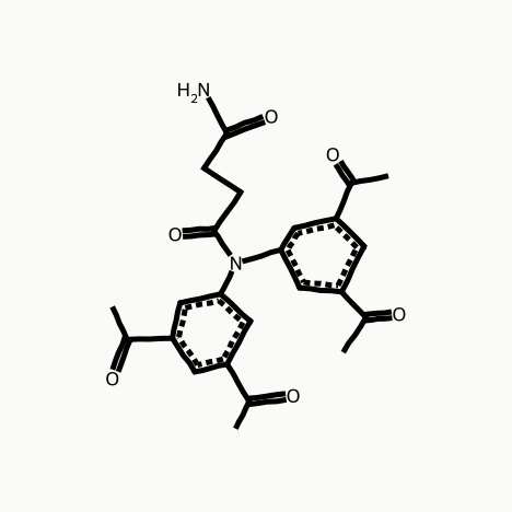 CC(=O)c1cc(C(C)=O)cc(N(C(=O)CCC(N)=O)c2cc(C(C)=O)cc(C(C)=O)c2)c1